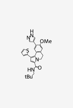 COc1cc2c(cc1-c1cn[nH]c1)-c1c(-c3cccs3)cc(C(=O)NCC(C)(C)C)n1CC2